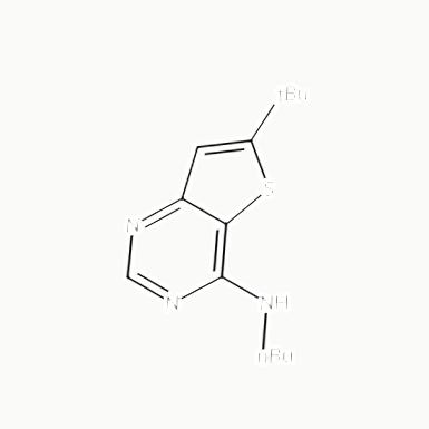 CCCCNc1ncnc2cc(C(C)(C)C)sc12